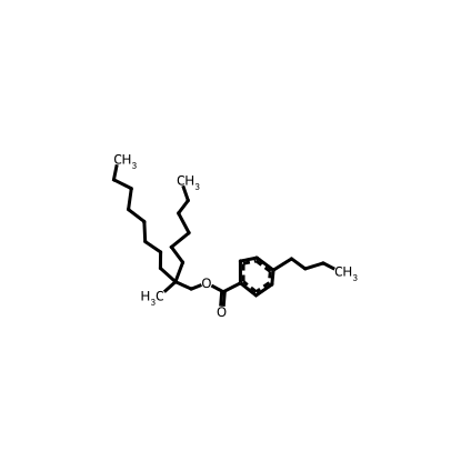 CCCCCCCCC(C)(CCCCCC)COC(=O)c1ccc(CCCC)cc1